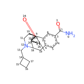 NC(=O)c1ccc2c(c1)[C@]13CCN(CC4CCC4)C(C2)[C@@H]1CCC(=O)C3